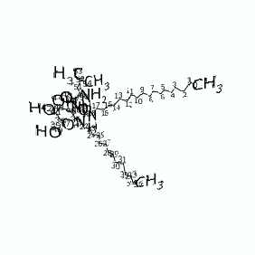 CCCCCCCCCCCCCCCCCCNC(=O)N(CCCCCCCCCCCCCC)[C@@H]1O[C@H](CO)[C@@H](O)[C@H](O)[C@H]1NC(=O)[C@@H](N)CC(C)C